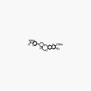 CCc1cc2cc3c(cc2nc1OC)CN1CCN(c2ccc(C(=O)NC)nc2)C[C@H]1CCO3